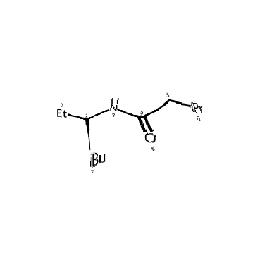 CCC(NC(=O)CC(C)C)[C@H](C)CC